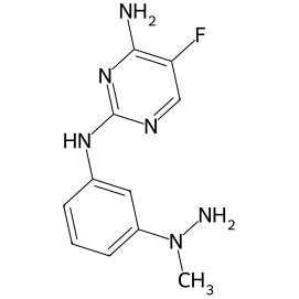 CN(N)c1cccc(Nc2ncc(F)c(N)n2)c1